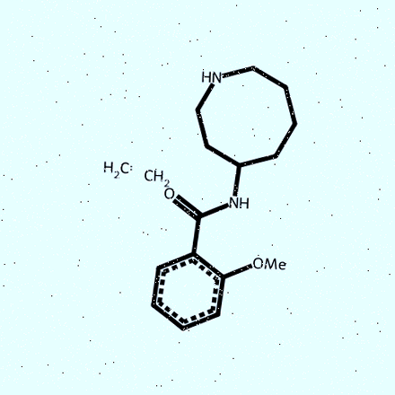 COc1ccccc1C(=O)NC1CCCCNCC1.[CH2].[CH2]